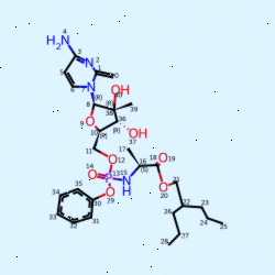 C=C1N=C(N)C=CN1[C@@H]1O[C@H](COP(=O)(N[C@@H](C)C(=O)OCC(CCC)CCC)Oc2ccccc2)[C@@H](O)[C@@]1(C)O